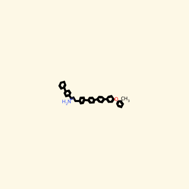 Cc1ccccc1Oc1ccc(-c2ccc(-c3ccc(-c4ccc(C/C=C(\N)c5ccc(C6=CCCC=C6)cc5)cc4)cc3)cc2)cc1